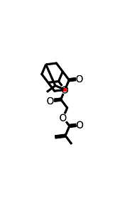 C=C(C)C(=O)OCC(=O)OC1C2CC3CC1C(=O)C(C2)C3C